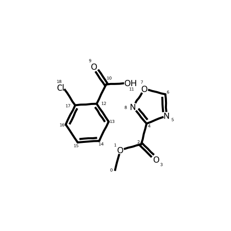 COC(=O)c1ncon1.O=C(O)c1ccccc1Cl